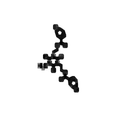 Cn1c(=O)n(CCOC(=O)C2CC3CC2C2OC32)c(=O)n(CCOC(=O)C2CC3CC2C2OC32)c1=O